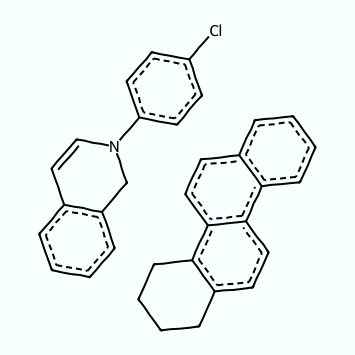 Clc1ccc(N2C=Cc3ccccc3C2)cc1.c1ccc2c(c1)ccc1c3c(ccc12)CCCC3